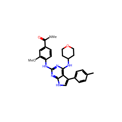 CNC(=O)c1ccc(Nc2nc(NC3CCOCC3)c3c(-c4ccc(C)cc4)c[nH]c3n2)c(OC)c1